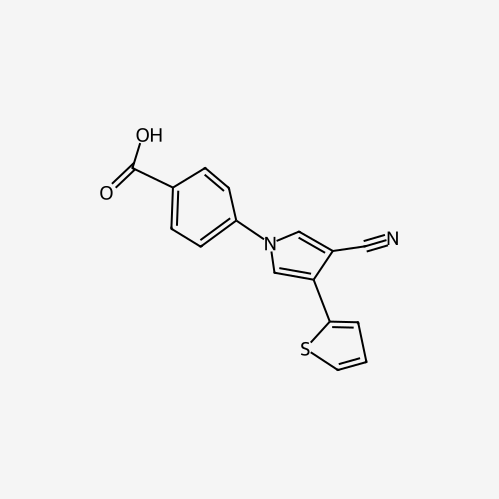 N#Cc1cn(-c2ccc(C(=O)O)cc2)cc1-c1cccs1